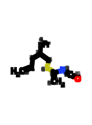 C=CCC(CCC)CSC(=C)N=C=O